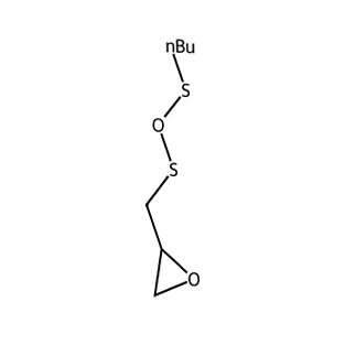 CCCCSOSCC1CO1